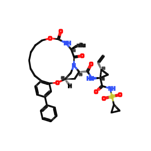 C=C[C@@H]1C[C@]1(NC(=O)[C@@H]1C[C@@H]2CN1C(=O)[C@H](CCCC)NC(=O)OCCCCCCc1ccc(-c3ccccc3)cc1O2)C(=O)NS(=O)(=O)C1CC1